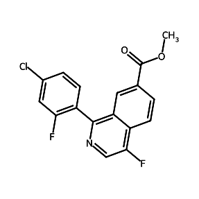 COC(=O)c1ccc2c(F)cnc(-c3ccc(Cl)cc3F)c2c1